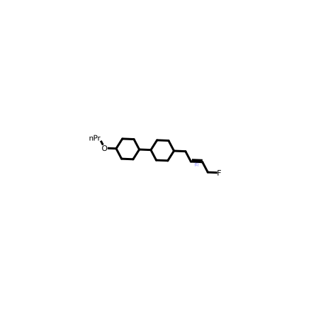 CCCOC1CCC(C2CCC(C/C=C/CF)CC2)CC1